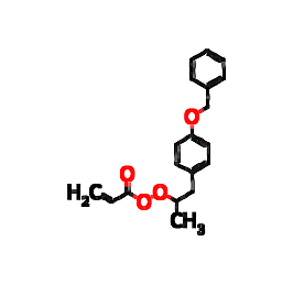 C=CC(=O)OOC(C)Cc1ccc(OCc2ccccc2)cc1